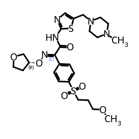 COCCCS(=O)(=O)c1ccc(/C(=N\O[C@@H]2CCOC2)C(=O)Nc2ncc(CN3CCN(C)CC3)s2)cc1